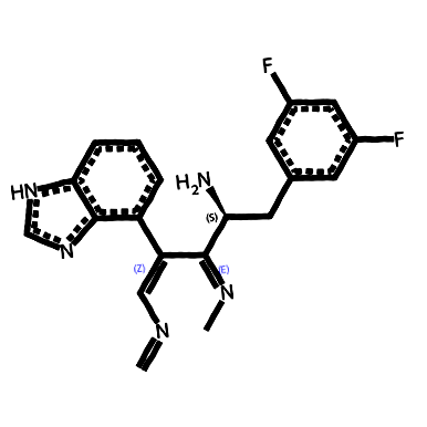 C=N/C=C(\C(=N/C)[C@@H](N)Cc1cc(F)cc(F)c1)c1cccc2[nH]cnc12